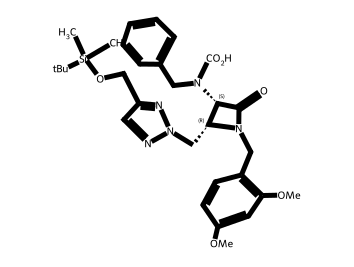 COc1ccc(CN2C(=O)[C@@H](N(Cc3ccccc3)C(=O)O)[C@H]2Cn2ncc(CO[Si](C)(C)C(C)(C)C)n2)c(OC)c1